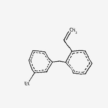 C=Cc1ccccc1-c1cccc(CC)c1